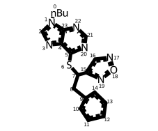 CCCCn1cnc2c(SC(Cc3ccccc3)c3cnon3)ncnc21